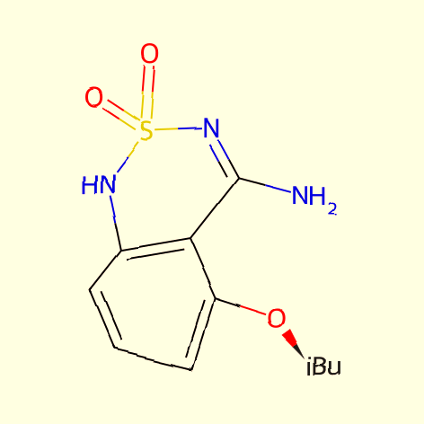 CC[C@H](C)Oc1cccc2c1C(N)=NS(=O)(=O)N2